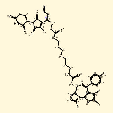 C=C/C=C(/OCC(=O)NCCCOCCCNC(=O)C[C@@H]1N=C(c2ccc(Cl)cc2)c2c(sc(C)c2C)-n2c(C)nnc21)C1=C(C)C(=O)N(C2CCC(=O)NC2=O)C1=O